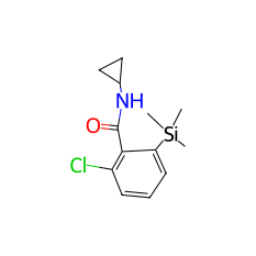 C[Si](C)(C)c1cccc(Cl)c1C(=O)NC1CC1